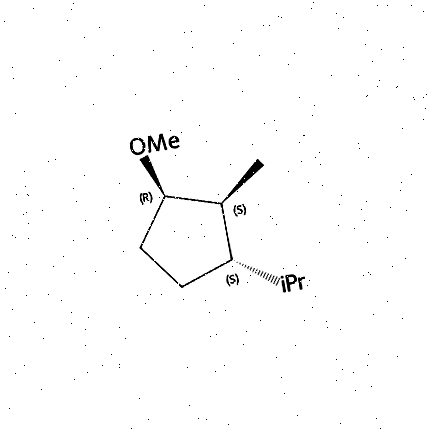 CO[C@@H]1CC[C@@H](C(C)C)[C@@H]1C